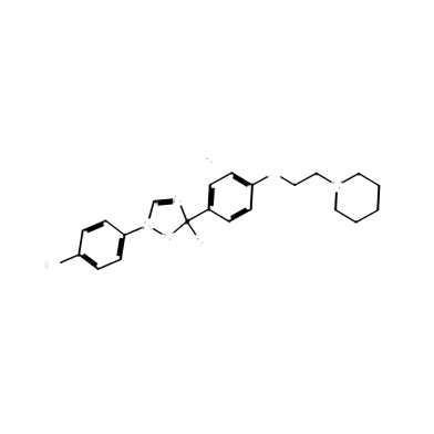 CC(C)c1ccc(N2C=NC(N)(c3ccc(OCCN4CCCCC4)cc3)N2)cc1.N